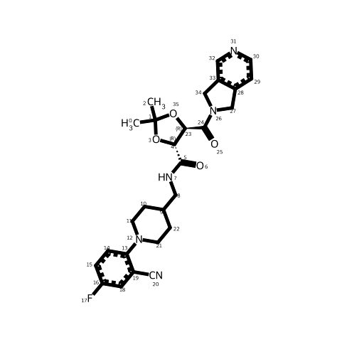 CC1(C)O[C@@H](C(=O)NCC2CCN(c3ccc(F)cc3C#N)CC2)[C@H](C(=O)N2Cc3ccncc3C2)O1